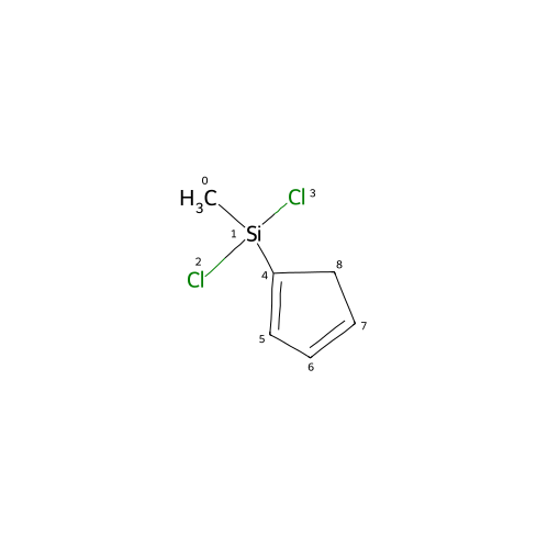 C[Si](Cl)(Cl)C1=CC=CC1